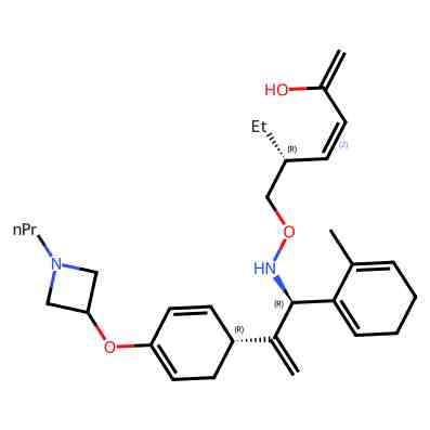 C=C(O)/C=C\[C@@H](CC)CON[C@H](C(=C)[C@H]1C=CC(OC2CN(CCC)C2)=CC1)C1=CCCC=C1C